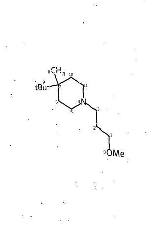 COCCCN1CCC(C)(C(C)(C)C)CC1